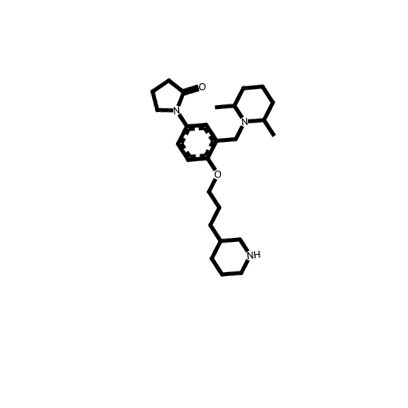 CC1CCCC(C)N1Cc1cc(N2CCCC2=O)ccc1OCCCC1CCCNC1